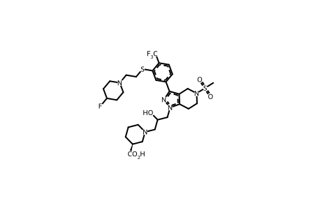 CS(=O)(=O)N1CCc2c(c(-c3ccc(C(F)(F)F)c(SCCN4CCC(F)CC4)c3)nn2CC(O)CN2CCC[C@H](C(=O)O)C2)C1